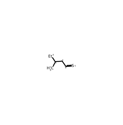 [CH2]CC(C)C[C]=S